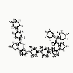 O=C([C@@H](c1ccccc1)N1CCCCC1)N1CCC[C@H]1c1ncc(-c2ccc(-c3ccc(-c4cnc([C@@H]5CCCN5Cc5ccc(N6CCOCC6)cc5)[nH]4)cc3)cc2)[nH]1